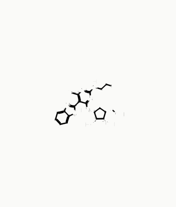 OC[C@H]1C[C@@H](Nc2nc(NCCF)nc(Cl)c2-c2nc3ccccc3s2)[C@H](O)[C@@H]1O